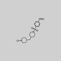 COc1ccc(S(=O)(=O)N2CCC(CC3CCN(Cl)CC3)CC2)cc1